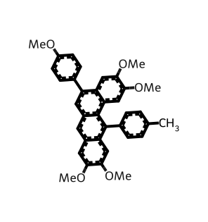 COc1ccc(-c2cc3cc4cc(OC)c(OC)cc4c(-c4ccc(C)cc4)c3c3cc(OC)c(OC)cc23)cc1